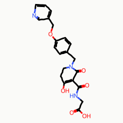 O=C(O)CNC(=O)C1=C(O)CCN(Cc2ccc(OCc3cccnc3)cc2)C1=O